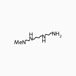 CNCCNCCCCNCCCN